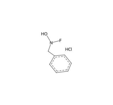 Cl.ON(F)Cc1ccccc1